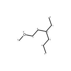 [CH2]CC(CCC)CCOC